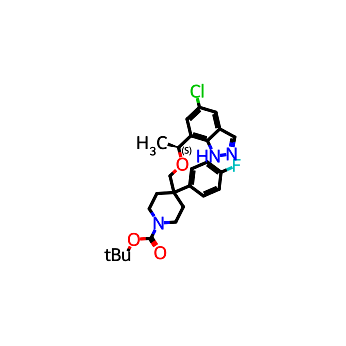 C[C@H](OCC1(c2ccc(F)cc2)CCN(C(=O)OC(C)(C)C)CC1)c1cc(Cl)cc2cn[nH]c12